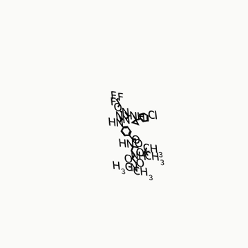 CC(C)OC(=O)C(CNC(=O)C(=O)N(C)C)NC(=O)c1ccc(Nc2nc(NC3(c4ccc(Cl)cc4)CC3)nc(OCC(F)(F)F)n2)cc1